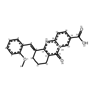 COc1ccccc1C=C1CCCc2c1nc1ccc(C(=O)O)cn1c2=O